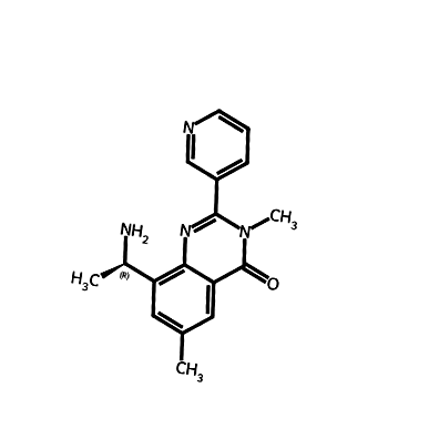 Cc1cc([C@@H](C)N)c2nc(-c3cccnc3)n(C)c(=O)c2c1